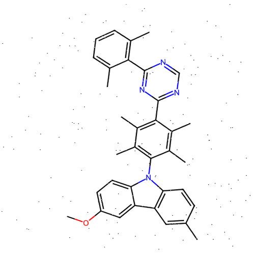 COc1ccc2c(c1)c1cc(C)ccc1n2-c1c(C)c(C)c(-c2ncnc(-c3c(C)cccc3C)n2)c(C)c1C